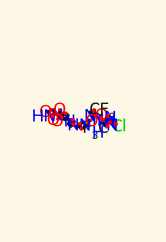 CC1(C(F)(F)F)CN(C(=O)Nc2cc(C(F)(F)F)cnc2OCCN2CCC(CN3CCN(c4ccc5c(c4)C(=O)N(C4CCC(=O)NC4=O)C5=O)CC3)CC2)c2cnc3cc(Cl)nn3c21